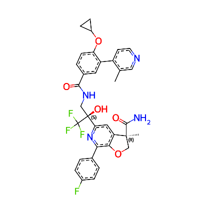 Cc1cnccc1-c1cc(C(=O)NC[C@](O)(c2cc3c(c(-c4ccc(F)cc4)n2)OC[C@]3(C)C(N)=O)C(F)(F)F)ccc1OC1CC1